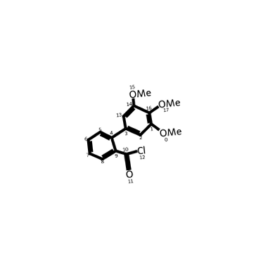 COc1cc(-c2ccccc2C(=O)Cl)cc(OC)c1OC